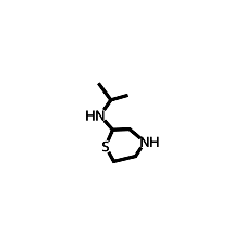 CC(C)N[C]1CNCCS1